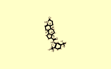 C[C@]12CCC(=O)NC1=CC[C@@H]1[C@@H]2CC[C@]2(C)C(C(=O)Nc3cc(C(F)(F)F)ccc3C(F)(F)F)CC[C@@H]12